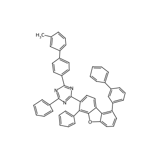 Cc1cccc(-c2ccc(-c3nc(-c4ccccc4)nc(-c4ccc5c(oc6cccc(-c7cccc(-c8ccccc8)c7)c65)c4-c4ccccc4)n3)cc2)c1